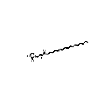 CCCCCCCC/C=C/CCCCCCCC(=O)NCCN1CCNC1=O